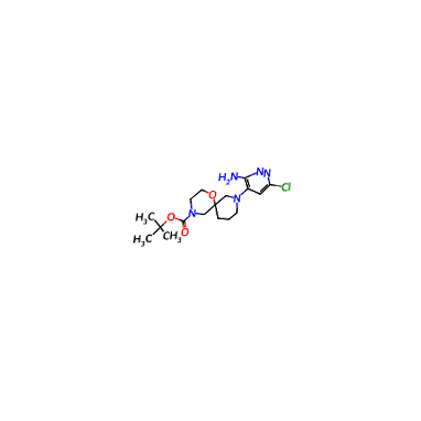 CC(C)(C)OC(=O)N1CCOC2(CCCN(c3cc(Cl)nnc3N)C2)C1